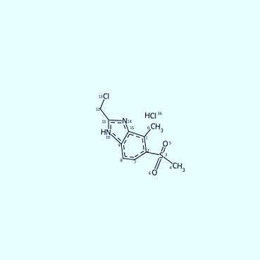 Cc1c(S(C)(=O)=O)ccc2[nH]c(CCl)nc12.Cl